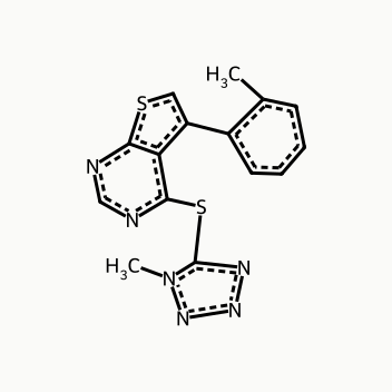 Cc1ccccc1-c1csc2ncnc(Sc3nnnn3C)c12